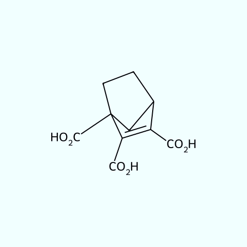 O=C(O)C1=C(C(=O)O)C2(C(=O)O)CCC1C2